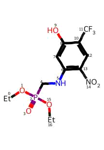 CCOP(=O)(CNc1cc(O)c(C(F)(F)F)cc1[N+](=O)[O-])OCC